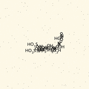 CCCOc1cc(N=Nc2cc(S(=O)(=O)O)cc3cc(S(=O)(=O)O)cc(O)c23)c(C)cc1N=Nc1c(S(=O)(=O)O)cc2c(S(=O)(=O)O)c(N=Nc3c(N)ccc4c(O)c(N=Nc5ccc6ccc(N=Nc7ccccc7)c(O)c6c5)ccc34)ccc2c1O